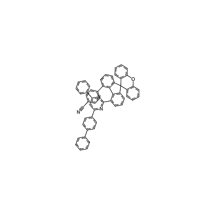 N#Cc1ccc(-c2cccc3c2-c2c(-c4nc(-c5ccccc5)cc(-c5ccc(-c6ccccc6)cc5)n4)cccc2C32c3ccccc3Oc3ccccc32)cc1